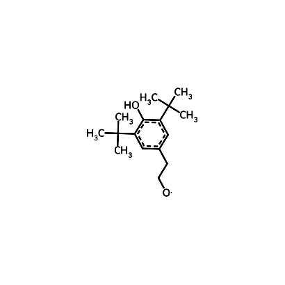 CC(C)(C)c1cc(CC[O])cc(C(C)(C)C)c1O